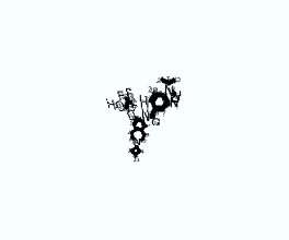 CC(C)n1nnc2cc(C(=O)Nc3ccc4c(c3)CCN(C3CCC3)CC4)ccc21.O=C(O)C(F)(F)F